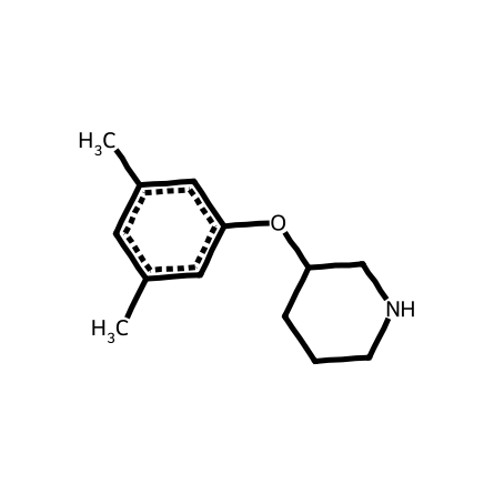 Cc1cc(C)cc(OC2CCCNC2)c1